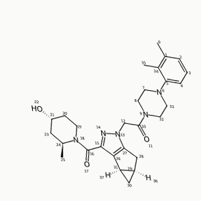 Cc1cccc(N2CCN(C(=O)Cn3nc(C(=O)N4CC[C@@H](O)C[C@@H]4C)c4c3C[C@H]3C[C@@H]43)CC2)c1C